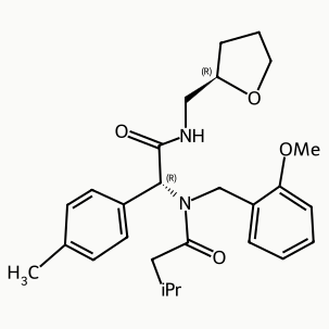 COc1ccccc1CN(C(=O)CC(C)C)[C@@H](C(=O)NC[C@H]1CCCO1)c1ccc(C)cc1